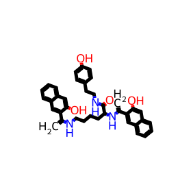 C=C(NCCCCC(NC(=C)c1cc2ccccc2cc1O)C(=O)NCCc1ccc(O)cc1)c1cc2ccccc2cc1O